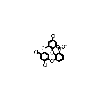 O=[N+]([O-])c1cccc(Oc2ccc(Cl)cc2Cl)c1Oc1ccc(Cl)cc1Cl